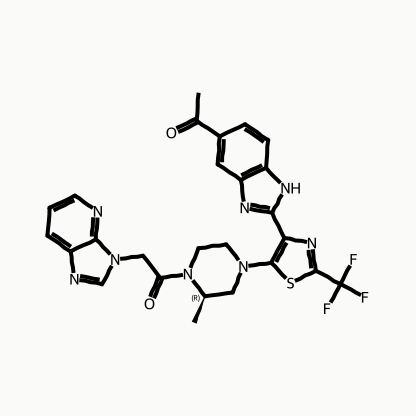 CC(=O)c1ccc2[nH]c(-c3nc(C(F)(F)F)sc3N3CCN(C(=O)Cn4cnc5cccnc54)[C@H](C)C3)nc2c1